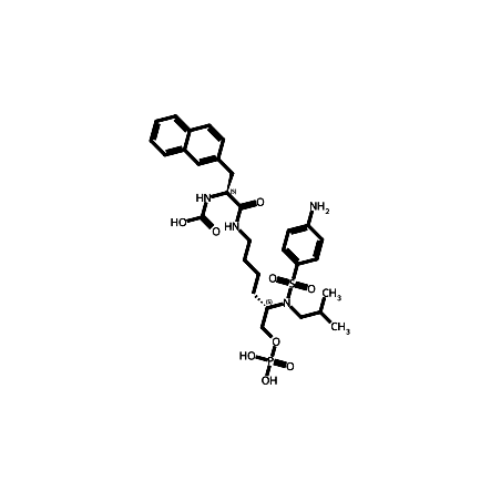 CC(C)CN([C@@H](CCCCNC(=O)[C@H](Cc1ccc2ccccc2c1)NC(=O)O)COP(=O)(O)O)S(=O)(=O)c1ccc(N)cc1